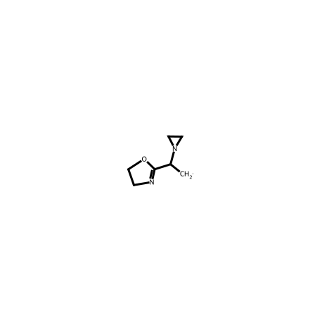 [CH2]C(C1=NCCO1)N1CC1